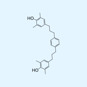 Cc1cc(CCCc2ccc(CCCc3cc(C)c(O)c(C)c3)cc2)cc(C)c1O